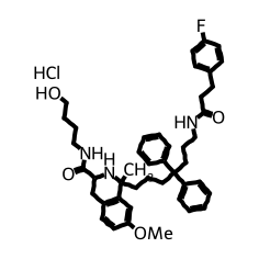 COc1ccc2c(c1)C(C)(CCCC(CCCNC(=O)CCc1ccc(F)cc1)(c1ccccc1)c1ccccc1)NC(C(=O)NCCCCO)C2.Cl